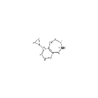 c1cc2c(c(C3CC3)c1)OCCNC2